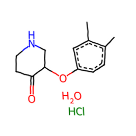 Cc1ccc(OC2CNCCC2=O)cc1C.Cl.O